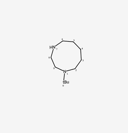 CC(C)(C)N1CCCCCNCC1